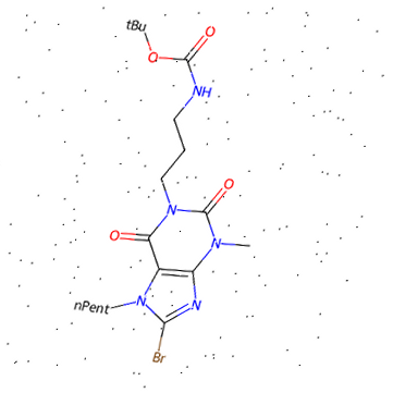 CCCCCn1c(Br)nc2c1c(=O)n(CCCNC(=O)OC(C)(C)C)c(=O)n2C